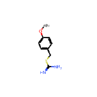 CCCCOc1ccc(CSC(=N)N)cc1